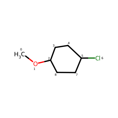 COC1CCC(Cl)CC1